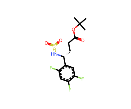 CC(C)(C)OC(=O)CC[C@@H](N[SH](=O)=O)c1cc(F)c(F)cc1F